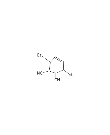 CCC1C=CC(CC)C(C#N)C1C#N